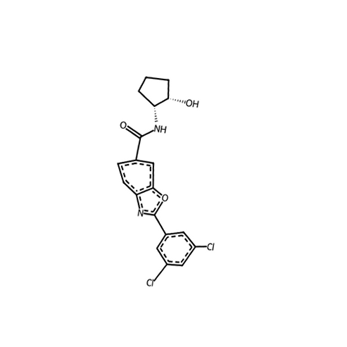 O=C(N[C@@H]1CCC[C@@H]1O)c1ccc2nc(-c3cc(Cl)cc(Cl)c3)oc2c1